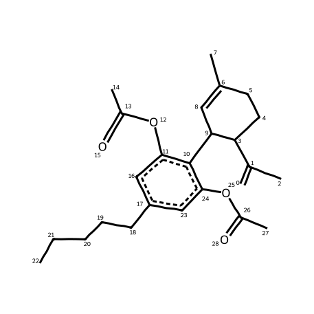 C=C(C)C1CCC(C)=CC1c1c(OC(C)=O)cc(CCCCC)cc1OC(C)=O